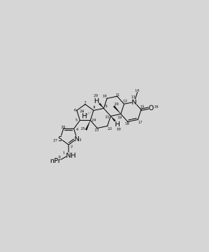 CCCNc1nc(C2CC[C@H]3[C@@H]4CCC5N(C)C(=O)C=C[C@]5(C)[C@@H]4CC[C@]23C)cs1